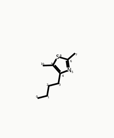 CCCCc1nc(C)sc1C